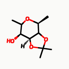 CC1O[C@@H](C)C2OC(C)(C)O[C@H]2[C@H]1O